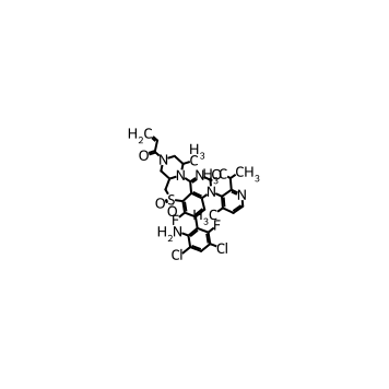 C=CC(=O)N1CC(C)N2c3nc(=O)n(-c4c(C)ccnc4C(C)C)c4cc(-c5c(N)c(Cl)cc(Cl)c5F)c(F)c(c34)S(=O)(=O)CC2C1